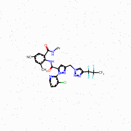 Cc1cc(C#N)cc(C(=O)NC(C)C)c1NC(=O)c1cc(Cn2cc(C(F)(F)C(F)(F)C(F)(F)F)nn2)nn1-c1ncccc1Cl